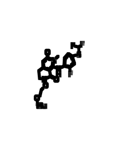 Cn1c(Nc2ccc(SC(F)F)cc2F)c2c(cc1=O)CCN(OCCOC(C)(C)C)C2=O